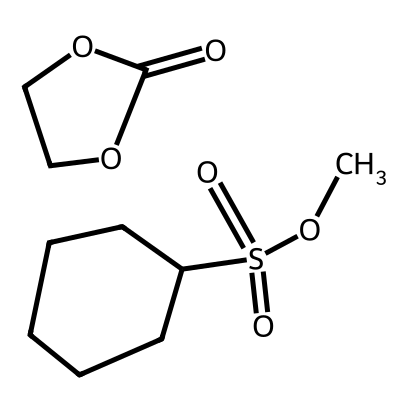 COS(=O)(=O)C1CCCCC1.O=C1OCCO1